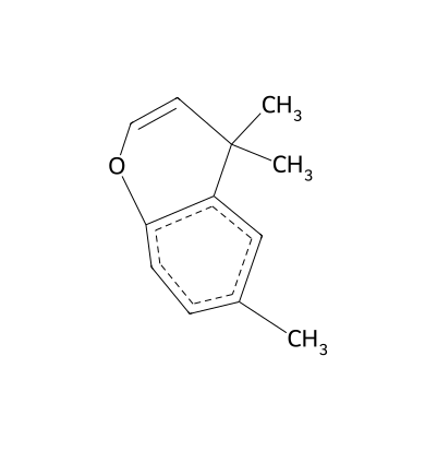 Cc1ccc2c(c1)C(C)(C)C=CO2